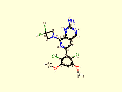 COc1cc(OC)c(Cl)c(-c2cc3cnc(N)nc3c(N3CC(F)(F)C3)n2)c1Cl